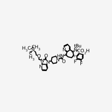 CC(C)(C)N(C(=O)O)[C@@H]1c2cccnc2[C@H](NC(=O)N2CCC(n3c(=O)n(COCC[Si](C)(C)C)c4ncccc43)CC2)CC[C@H]1c1cccc(F)c1F